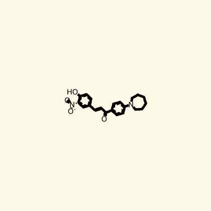 O=C(C=Cc1ccc(O)c([N+](=O)[O-])c1)c1ccc(N2CCCCCC2)cc1